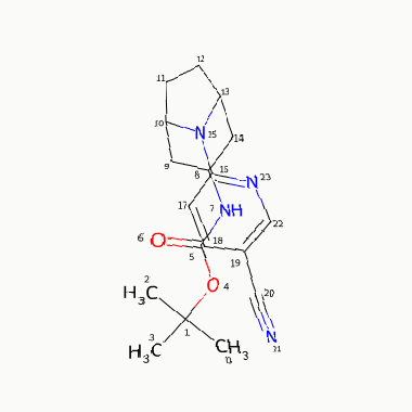 CC(C)(C)OC(=O)NC1CC2CCC(C1)N2c1ccc(C#N)cn1